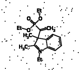 C=C(C1(C)C(C)=[N+](CC)c2ccccc21)P(=O)(OCC)OCC